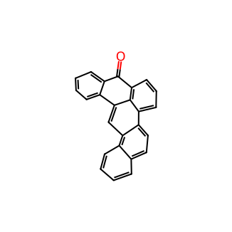 O=C1c2ccccc2-c2cc3c4ccccc4ccc3c3cccc1c23